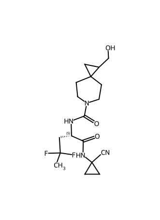 CC(F)(F)C[C@H](NC(=O)N1CCC2(CC1)CC2CO)C(=O)NC1(C#N)CC1